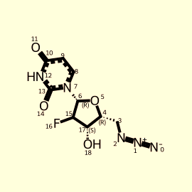 [N-]=[N+]=NC[C@H]1O[C@@H](n2ccc(=O)[nH]c2=O)C(F)[C@H]1O